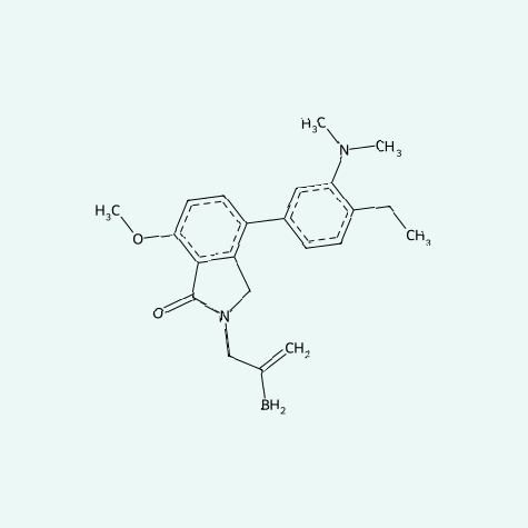 BC(=C)CN1Cc2c(-c3ccc(CC)c(N(C)C)c3)ccc(OC)c2C1=O